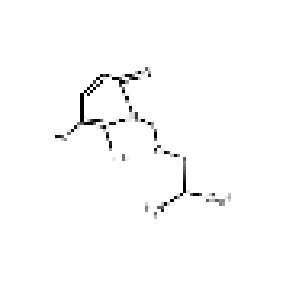 CC(=O)c1ccc(=O)n(COCC(N)C(=O)O)c1N